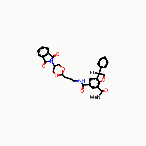 CCC1(c2ccccc2)COc2c(C(=O)NC)cc(C(=O)NCCCC3OCC(N4C(=O)c5ccccc5C4=O)CO3)cc21